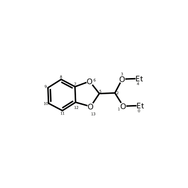 CCOC(OCC)C1Oc2ccccc2O1